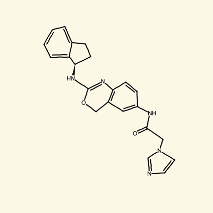 O=C(Cn1ccnc1)Nc1ccc2c(c1)COC(N[C@@H]1CCc3ccccc31)=N2